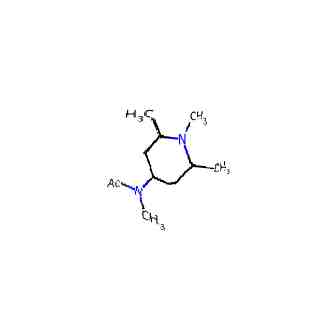 CC(=O)N(C)C1CC(C)N(C)C(C)C1